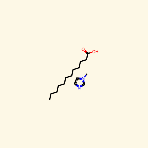 CCCCCCCCCCCC(=O)O.Cn1ccnc1